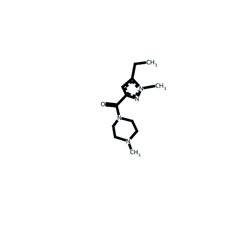 CCc1cc(C(=O)N2CCN(C)CC2)nn1C